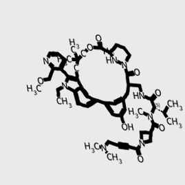 CCn1c(-c2cccnc2COC)c2c3cc(ccc31)-c1cc(O)cc(c1)CC(CNC(=O)[C@H](C(C)C)N(C)C(=O)C1CN(C(=O)C#CCN(C)C)C1)C(=O)N1CCC[C@H](N1)C(=O)OCC(C)(C)C2